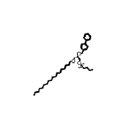 CCCCCCCCCCCCCCCCCCOC[C@H](CO[Si](C)(C)CCCC)OCc1ccc(-c2ccccc2)cc1